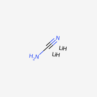 N#CN.[LiH].[LiH]